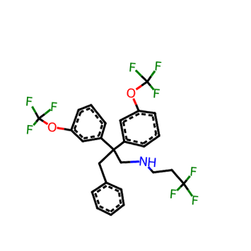 FC(F)(F)CCNCC(Cc1ccccc1)(c1cccc(OC(F)(F)F)c1)c1cccc(OC(F)(F)F)c1